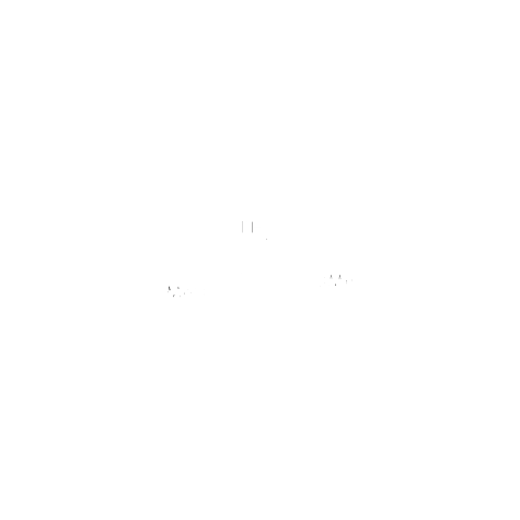 COCC(P)OC